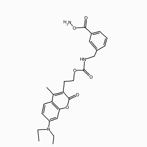 CCN(CC)c1ccc2c(C)c(CCOC(=O)NCc3cccc(C(=O)ON)c3)c(=O)oc2c1